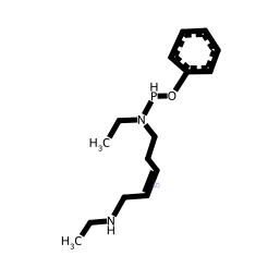 CCNC/C=C\CCN(CC)POc1ccccc1